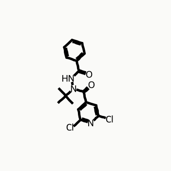 CC(C)(C)N(NC(=O)c1ccccc1)C(=O)c1cc(Cl)nc(Cl)c1